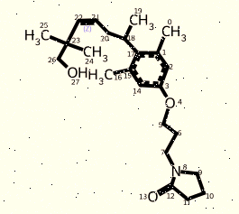 Cc1cc(OCCCN2CCCC2=O)cc(C)c1C(C)C/C=C\C(C)(C)CO